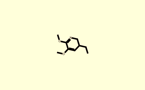 CCC1C=C(OC)C(OC)=NC1